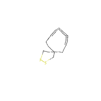 C1=C=CCC2(CC=1)CSSC2